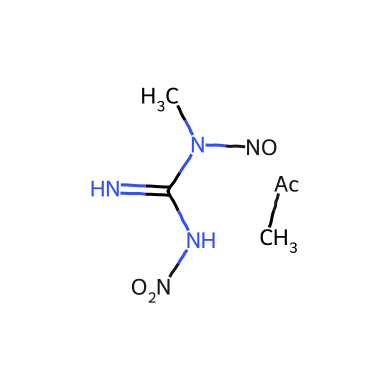 CC(C)=O.CN(N=O)C(=N)N[N+](=O)[O-]